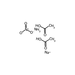 CC(=O)O.CC(=O)O.N.O=[N+]([O-])[O-].[Na+]